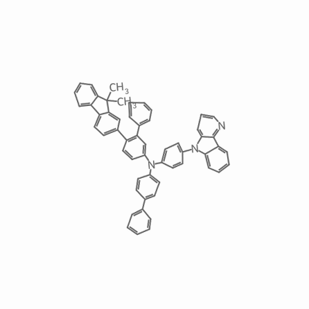 CC1(C)c2ccccc2-c2ccc(-c3ccc(N(c4ccc(-c5ccccc5)cc4)c4ccc(-n5c6ccccc6c6ncccc65)cc4)cc3-c3ccccc3)cc21